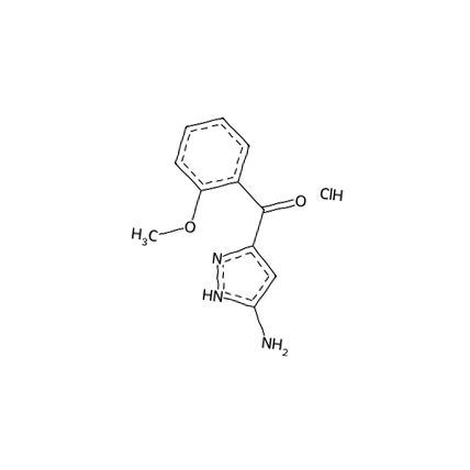 COc1ccccc1C(=O)c1cc(N)[nH]n1.Cl